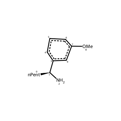 CCCCC[C@H](N)c1cccc(OC)c1